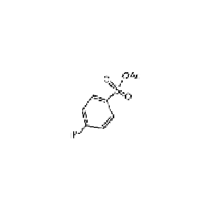 CC(=O)OS(=O)(=O)c1ccc(C(C)C)cc1